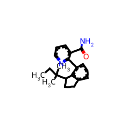 CCC(C)(C)C1CCc2cccc(-c3ncccc3C(N)=O)c21